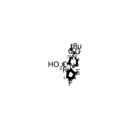 CC(C)(C)OC(=O)N1CCN(c2c(F)cc(F)cc2F)C(C(=O)O)C1